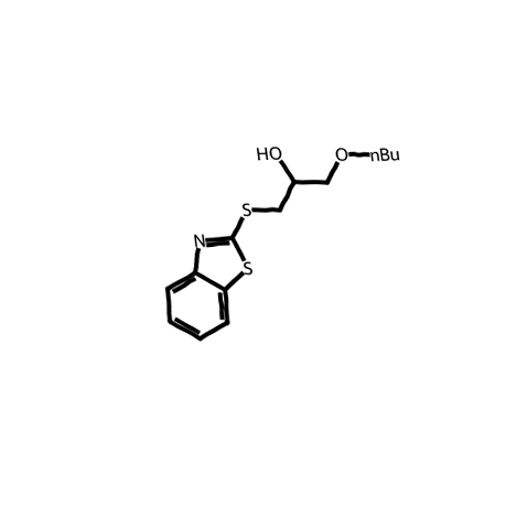 CCCCOCC(O)CSc1nc2ccccc2s1